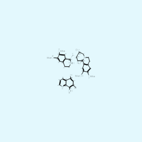 CC[C@H]1CN2CCc3cc(OC)c(OC)cc3[C@@H]2C[C@@H]1C[C@H]1NCCc2cc(OC)c(OC)cc21.Oc1c(I)cc(I)c2cccnc12